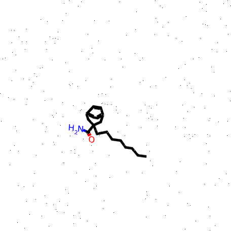 CCCCCCCCC1(C(N)=O)Cc2ccc(cc2)C1